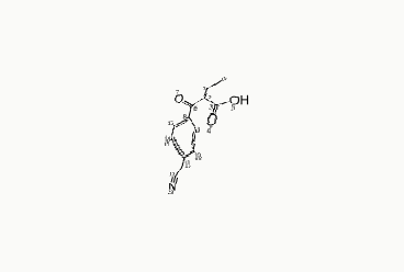 CCC(C(=O)O)C(=O)c1ccc(C#N)cc1